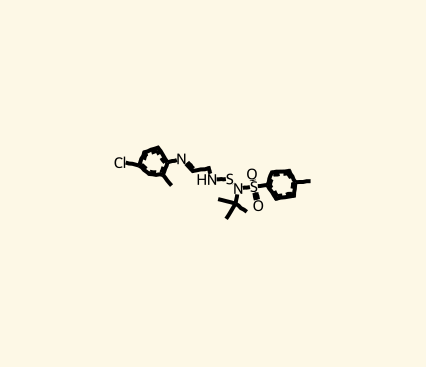 Cc1ccc(S(=O)(=O)N(SNCC=Nc2ccc(Cl)cc2C)C(C)(C)C)cc1